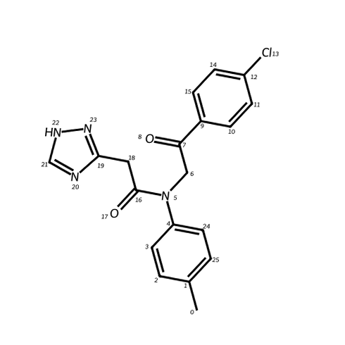 Cc1ccc(N(CC(=O)c2ccc(Cl)cc2)C(=O)Cc2nc[nH]n2)cc1